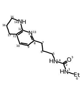 CCNC(=O)NCCCc1ccc2c(n1)NCCC2